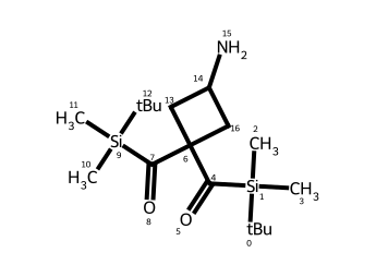 CC(C)(C)[Si](C)(C)C(=O)C1(C(=O)[Si](C)(C)C(C)(C)C)CC(N)C1